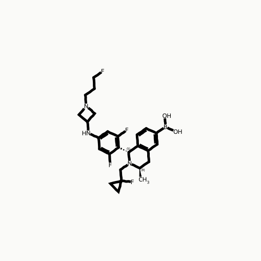 C[C@@H]1Cc2cc(B(O)O)ccc2[C@@H](c2c(F)cc(NC3CN(CCCF)C3)cc2F)N1CC1(F)CC1